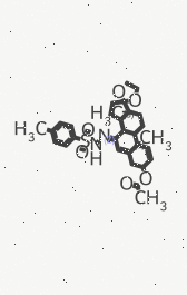 CC(=O)OC1C=C[C@@]2(C)C(=C/C(=N\NS(=O)(=O)c3ccc(C)cc3)C3C2CC[C@@]2(C)C3CCC23OCCO3)C1